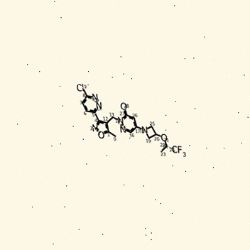 Cc1onc(-c2ccc(Cl)nn2)c1Cn1ncc(N2CC(O[C@@H](C)C(F)(F)F)C2)cc1=O